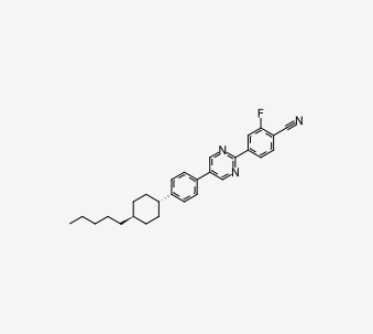 CCCCC[C@H]1CC[C@H](c2ccc(-c3cnc(-c4ccc(C#N)c(F)c4)nc3)cc2)CC1